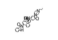 CCCN1CCN(c2cc(NS(=O)(=O)c3ccc(NC(=O)c4ccccc4C)c4ccccc34)ccc2OC)CC1